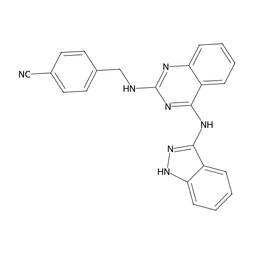 N#Cc1ccc(CNc2nc(Nc3n[nH]c4ccccc34)c3ccccc3n2)cc1